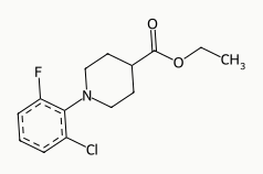 CCOC(=O)C1CCN(c2c(F)cccc2Cl)CC1